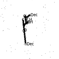 CCCCCCCCCCCCCCCCCCCCCCCCOC(=O)CCCCCN(CCCCCC(=O)O)CCCN(CCO)CCCCCC(=C=O)OCCCCCCCCCCCCCC